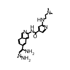 CN(N)/C=C(\N)c1ccc2cnc(NC(=O)c3ccnc(NCCN(C)C)c3)cc2c1